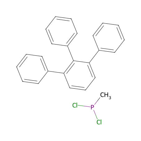 CP(Cl)Cl.c1ccc(-c2cccc(-c3ccccc3)c2-c2ccccc2)cc1